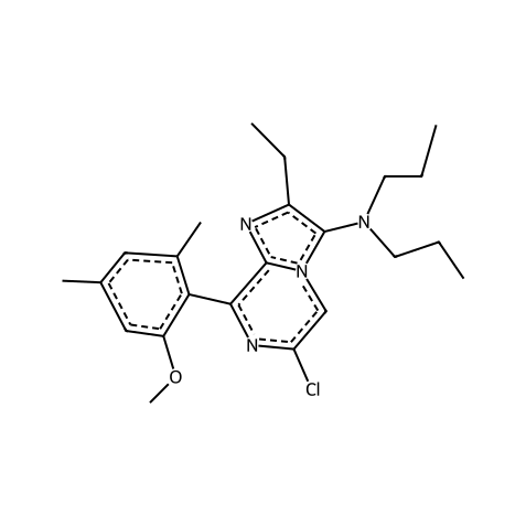 CCCN(CCC)c1c(CC)nc2c(-c3c(C)cc(C)cc3OC)nc(Cl)cn12